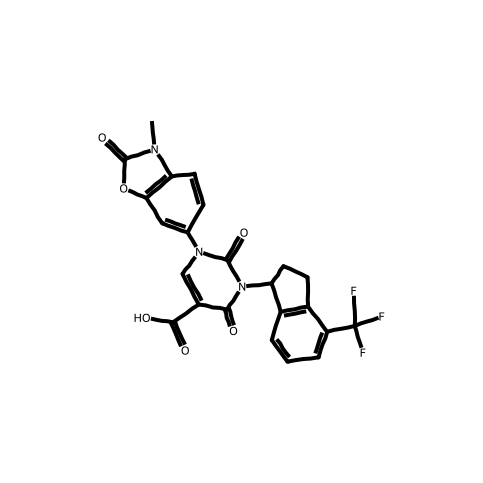 Cn1c(=O)oc2cc(-n3cc(C(=O)O)c(=O)n(C4CCc5c4cccc5C(F)(F)F)c3=O)ccc21